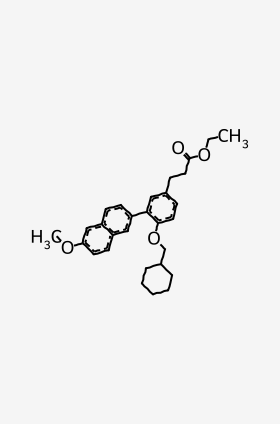 CCOC(=O)CCc1ccc(OCC2CCCCC2)c(-c2ccc3cc(OC)ccc3c2)c1